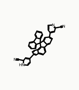 N#Cc1cc(-c2ccc3c(c2)C2(c4ccccc4-c4ccccc42)c2c-3ccc3cc(C4=CC(C#N)NC=C4)ccc23)ccn1